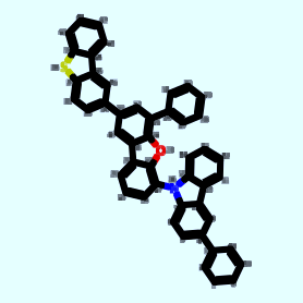 c1ccc(-c2ccc3c(c2)c2ccccc2n3-c2cccc3c2oc2c(-c4ccccc4)cc(-c4ccc5sc6ccccc6c5c4)cc23)cc1